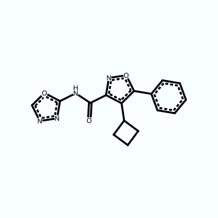 O=C(Nc1nnco1)c1noc(-c2ccccc2)c1C1CCC1